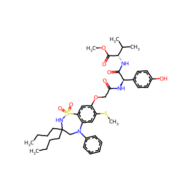 CCCCC1(CCCC)CN(c2ccccc2)c2cc(SC)c(OCC(=O)N[C@@H](C(=O)N[C@H](C(=O)OC)C(C)C)c3ccc(O)cc3)cc2S(=O)(=O)N1